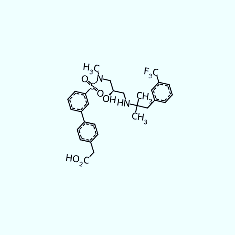 CN(C[C@H](O)CNC(C)(C)Cc1cccc(C(F)(F)F)c1)S(=O)(=O)c1cccc(-c2ccc(CC(=O)O)cc2)c1